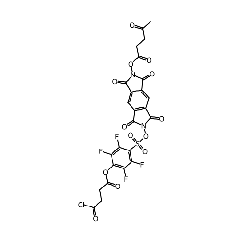 CC(=O)CCC(=O)On1c(=O)c2cc3c(=O)n(OS(=O)(=O)c4c(F)c(F)c(OC(=O)CCC(=O)Cl)c(F)c4F)c(=O)c3cc2c1=O